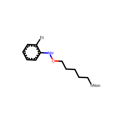 CCCCCCCCCCCCCCONc1ccccc1CC